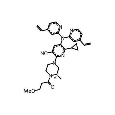 C=Cc1ccnc(N(c2cc(C=C)ccn2)c2cc(C#N)c(N3CCN(C(=O)CCOC)[C@H](C)C3)nc2C2CC2)c1